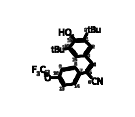 CC(C)(C)c1cc(C=C(C#N)c2ccc(OC(F)(F)F)cc2)cc(C(C)(C)C)c1O